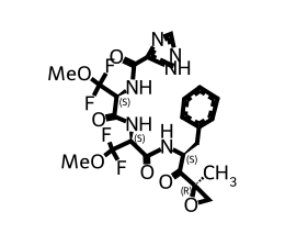 COC(F)(F)[C@@H](NC(=O)c1ncn[nH]1)C(=O)N[C@@H](C(=O)N[C@@H](Cc1ccccc1)C(=O)[C@@]1(C)CO1)C(F)(F)OC